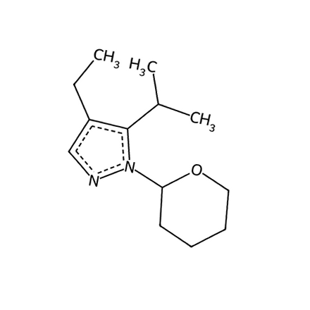 CCc1cnn(C2CCCCO2)c1C(C)C